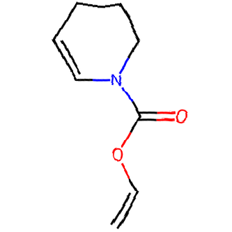 C=COC(=O)N1C=CCCC1